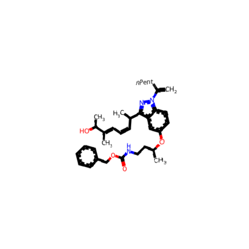 C=C(CCCCC)n1nc(C(C)/C=C\C=C(/C)C(C)O)c2cc(OC(C)CCNC(=O)OCc3ccccc3)ccc21